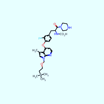 Cc1cn(COCC[Si](C)(C)C)c2nccc(Oc3ccc(CC(NC(=O)O)C(=O)N4CCNCC4)cc3F)c12